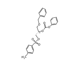 Cc1ccc(S(=O)(=O)OC[C@H](COCc2ccccc2)OC(=O)Oc2ccccc2)cc1